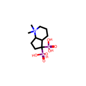 C[N+]1(C)CCCC2C1CCC2(P(=O)(O)O)P(=O)(O)O